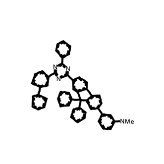 CNc1cccc(-c2ccc3c(c2)C(c2ccccc2)(c2ccccc2)c2cc(-c4nc(-c5ccccc5)nc(-c5cccc(-c6ccccc6)c5)n4)ccc2-3)c1